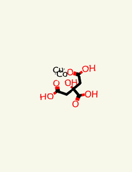 O=C(O)CC(O)(CC(=O)O)C(=O)O.[Co].[Cu]